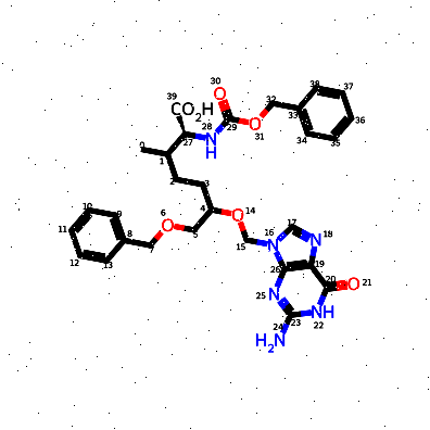 CC(CCC(COCc1ccccc1)OCn1cnc2c(=O)[nH]c(N)nc21)[C@H](NC(=O)OCc1ccccc1)C(=O)O